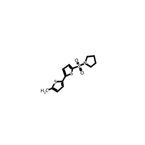 Cc1ccc(-c2ccc(S(=O)(=O)N3CCCC3)s2)s1